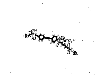 C[C@@H](O)[C@H](NC(=O)c1ccc(C#Cc2ccc(NC(=O)C(CCCNC(=O)OC(C)(C)C)N(C(=O)O)C(C)(C)C)cc2)cc1)C(=O)NO